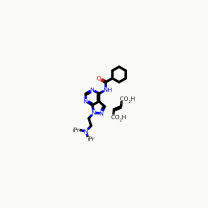 CC(C)N(CCn1ncc2c(NC(=O)C3CCCCC3)ncnc21)C(C)C.O=C(O)C=CC(=O)O